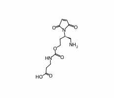 NC[C@@H](CCOC(=O)NCCC(=O)O)N1C(=O)C=CC1=O